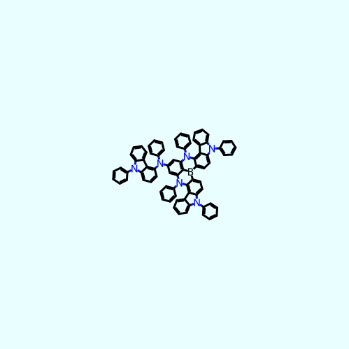 c1ccc(N(c2cc3c4c(c2)N(c2ccccc2)c2c(ccc5c2c2ccccc2n5-c2ccccc2)B4c2ccc4c(c2N3c2ccccc2)c2ccccc2n4-c2ccccc2)c2cccc3c2c2ccccc2n3-c2ccccc2)cc1